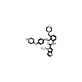 Cn1c(C(=O)Nc2cccc(CN3CCOCC3)c2COc2ccc(OC3CCNCC3)cc2)cc2sccc21